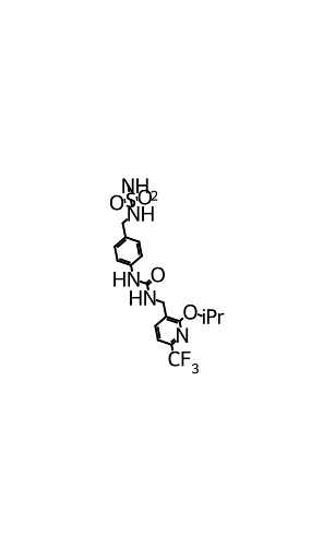 CC(C)Oc1nc(C(F)(F)F)ccc1CNC(=O)Nc1ccc(CNS(N)(=O)=O)cc1